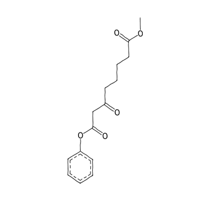 COC(=O)CCCCC(=O)CC(=O)Oc1ccccc1